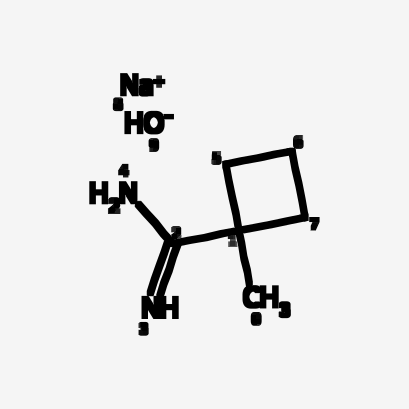 CC1(C(=N)N)CCC1.[Na+].[OH-]